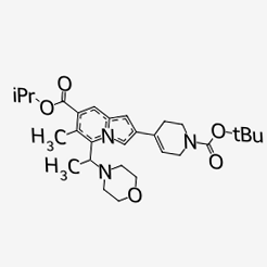 Cc1c(C(=O)OC(C)C)cc2cc(C3=CCN(C(=O)OC(C)(C)C)CC3)cn2c1C(C)N1CCOCC1